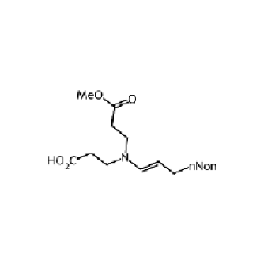 CCCCCCCCCCC=CN(CCC(=O)O)CCC(=O)OC